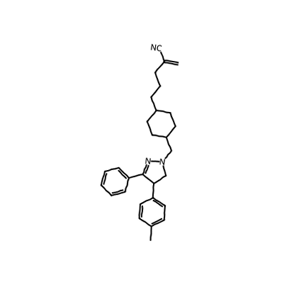 C=C(C#N)CCCC1CCC(CN2CC(c3ccc(C)cc3)C(c3ccccc3)=N2)CC1